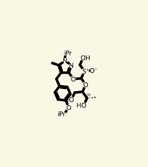 Cc1c(Cc2ccc(OC(C)C)cc2)c(OC(OC(CO)[C@H](C)O)[S+]([O-])CO)nn1C(C)C